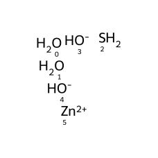 O.O.S.[OH-].[OH-].[Zn+2]